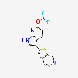 FC(F)Oc1ccc2c(-c3cc4ccncc4s3)c[nH]c2n1